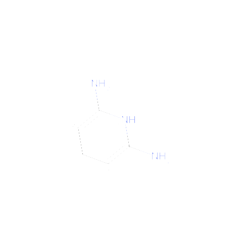 NC1=CCC=C(N)N1